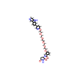 O=C1CCC(N2Cc3c(OCCOCCOCCOCCOCCOc4ccc(-c5ccc6c(c5)[nH]c5ccncc56)cn4)cccc3C2=O)C(=O)N1